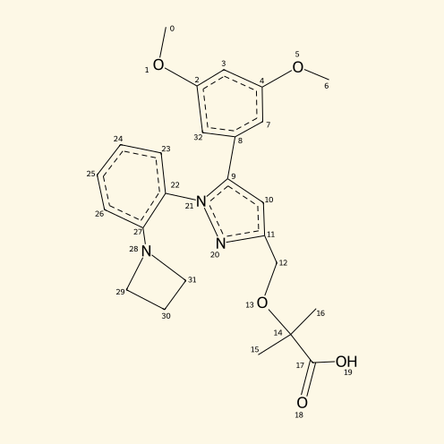 COc1cc(OC)cc(-c2cc(COC(C)(C)C(=O)O)nn2-c2ccccc2N2CCC2)c1